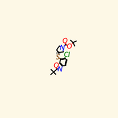 CC(C)(C)OC(=O)N1CC[C@@H](Sc2c(Cl)ccc3nc(C(C)(C)C)oc23)C1